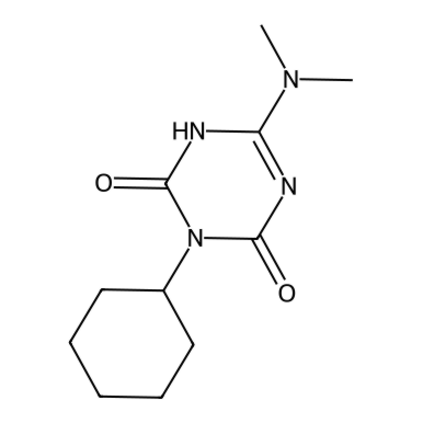 CN(C)c1nc(=O)n(C2CCCCC2)c(=O)[nH]1